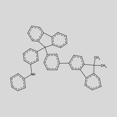 CC1(C)c2ccccc2-c2cc(-c3cccc(C4(c5cccc(Nc6ccccc6)c5)c5ccccc5-c5ccccc54)c3)ccc21